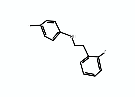 [CH2]c1ccc(NCCc2ccccc2F)cc1